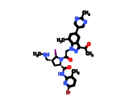 CNC[C@H]1C[C@@H](C(=O)Nc2nc(Br)ccc2C)N(C(=O)Cn2nc(C(C)=O)c3cc(-c4cnc(C)nc4)cc(C)c32)[C@@H]1I